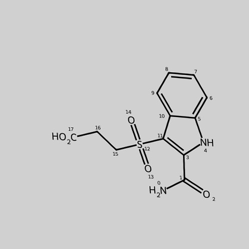 NC(=O)c1[nH]c2ccccc2c1S(=O)(=O)CCC(=O)O